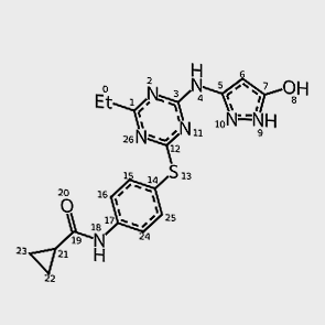 CCc1nc(Nc2cc(O)[nH]n2)nc(Sc2ccc(NC(=O)C3CC3)cc2)n1